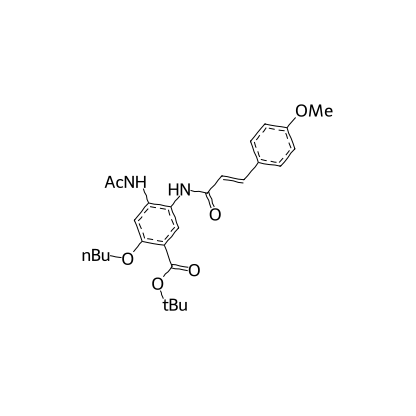 CCCCOc1cc(NC(C)=O)c(NC(=O)C=Cc2ccc(OC)cc2)cc1C(=O)OC(C)(C)C